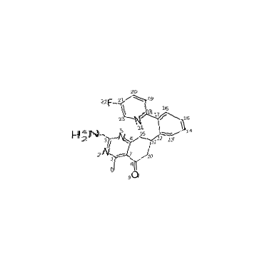 Cc1nc(N)nc2c1C(=O)CC(c1ccccc1-c1ccc(F)cn1)C2